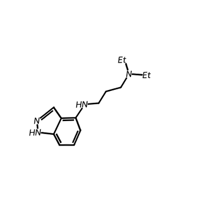 CCN(CC)CCCNc1cccc2[nH]ncc12